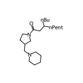 CCCCCC(CCCC)CC(=O)N1CCC(CN2CCCCC2)C1